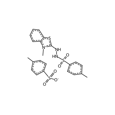 Cc1ccc(S(=O)(=O)NNc2sc3ccccc3[n+]2C)cc1.Cc1ccc(S(=O)(=O)[O-])cc1